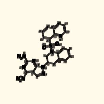 Nc1nc(N)c2cnn(C3Cc4ccccc4N(S(=O)(=O)c4cccc5cccnc45)C3)c2n1